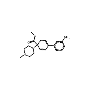 COC(=O)C1(N2CCN(C)CC2)C=CC(c2cccc(N)c2)=CC1